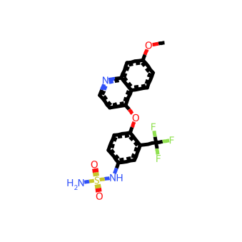 COc1ccc2c(Oc3ccc(NS(N)(=O)=O)cc3C(F)(F)F)ccnc2c1